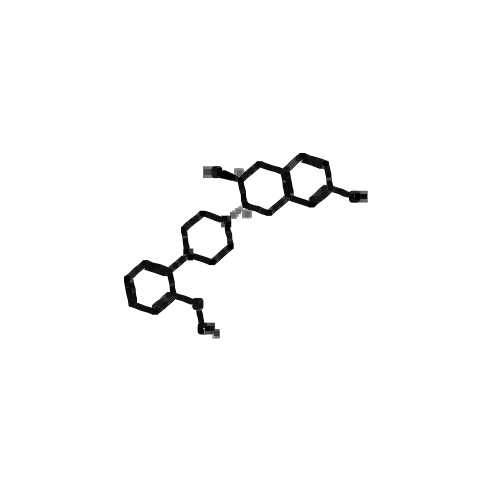 COc1ccccc1N1CCN([C@H]2Cc3cc(O)ccc3C[C@@H]2O)CC1